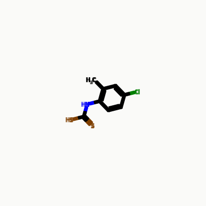 Cc1cc(Cl)ccc1NC(=S)S